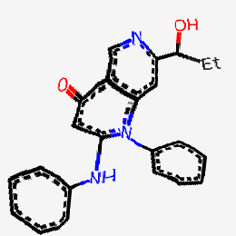 CCC(O)c1cc2c(cn1)c(=O)cc(Nc1ccccc1)n2-c1ccccc1